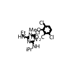 CCNc1nc(Cl)nc(NC(C)C)n1.COc1c(Cl)ccc(Cl)c1C(=O)O